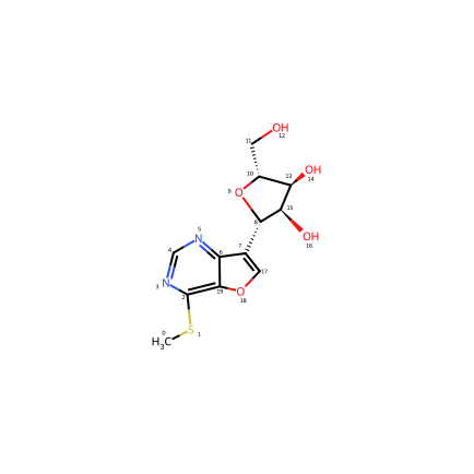 CSc1ncnc2c([C@@H]3O[C@H](CO)[C@@H](O)[C@H]3O)coc12